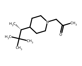 CC(=O)CN1CCC([C@@H](C)C(C)(C)C)CC1